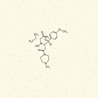 COc1ccc(S(=O)(=O)C(CC(=O)N2CCN(C)CC2)N(O)[C@@H](C(N)=O)C(C)C)cc1